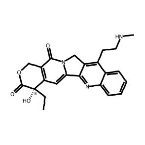 CC[C@@]1(O)C(=O)OCc2c1cc1n(c2=O)Cc2c-1nc1ccccc1c2CCNC